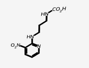 O=C(O)NCCCNc1ncccc1[N+](=O)[O-]